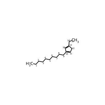 CCCCCCCCCCC1=CCC(CC)=C1